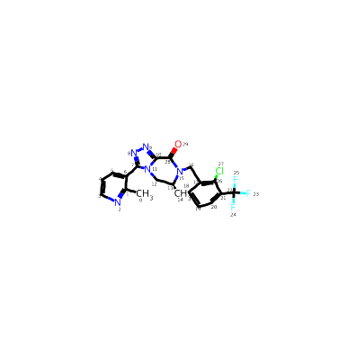 Cc1ncccc1-c1nnc2n1C[C@H](C)N(Cc1cccc(C(F)(F)F)c1Cl)C2=O